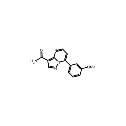 COc1cccc(-c2ccnc3c(C(N)=O)cnn23)c1